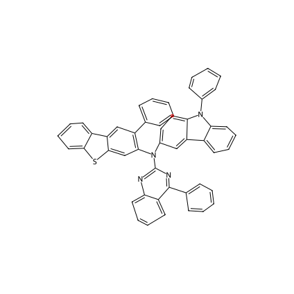 c1ccc(-c2cc3c(cc2N(c2ccc4c(c2)c2ccccc2n4-c2ccccc2)c2nc(-c4ccccc4)c4ccccc4n2)sc2ccccc23)cc1